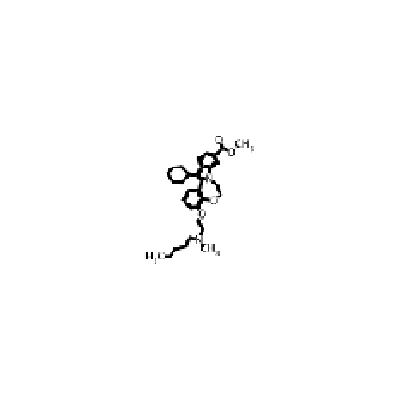 CCCCCN(C)CCOc1cccc2c1OCCn1c-2c(C2CCCCC2)c2ccc(C(=O)OC)cc21